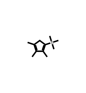 CC1=C(C)C(C)=[C]([Ti]([CH3])([CH3])[CH3])C1